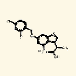 Cc1cc(OCc2ccc(Cl)cc2Cl)cc2scc(C(C)C(=O)O)c12